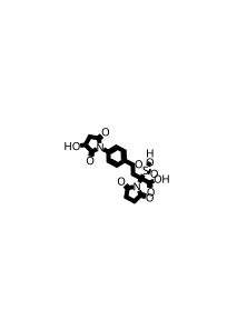 O=C1CC(O)C(=O)N1c1ccc(CCC(C(=O)O)(N2C(=O)CCC2=O)S(=O)(=O)O)cc1